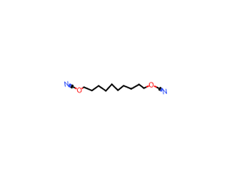 N#COCCCCCCCCCCOC#N